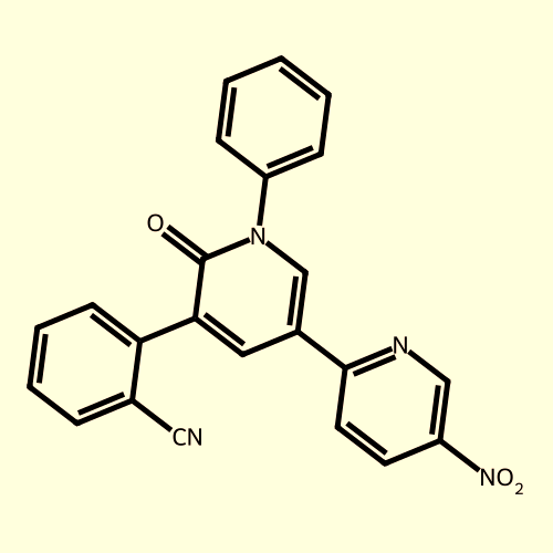 N#Cc1ccccc1-c1cc(-c2ccc([N+](=O)[O-])cn2)cn(-c2ccccc2)c1=O